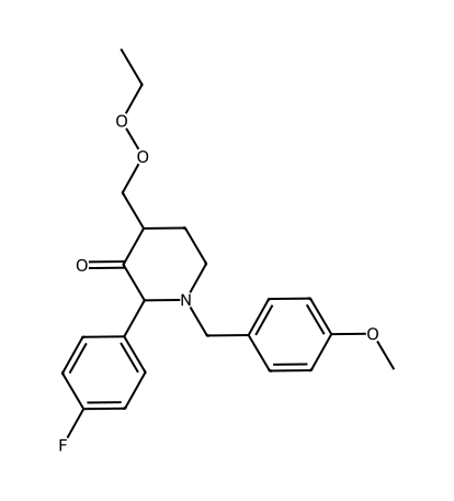 CCOOCC1CCN(Cc2ccc(OC)cc2)C(c2ccc(F)cc2)C1=O